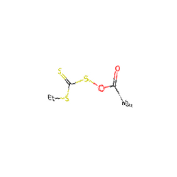 CCCCC(=O)OSC(=S)SCC